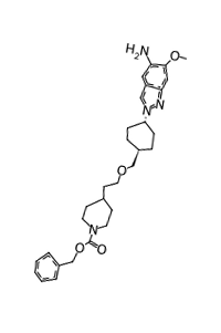 COc1cc2nn([C@H]3CC[C@H](COCCC4CCN(C(=O)OCc5ccccc5)CC4)CC3)cc2cc1N